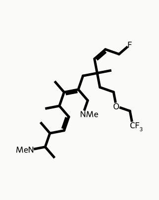 CNC/C(CC(C)(/C=C\CF)CCOCC(F)(F)F)=C(/C)C(C)/C=C\C(C)C(C)NC